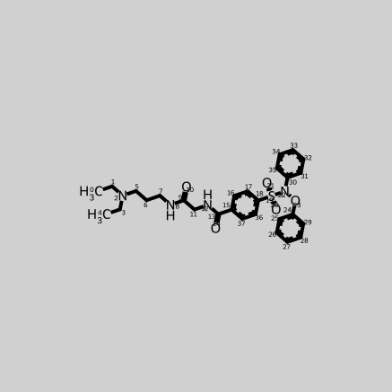 CCN(CC)CCCNC(=O)CNC(=O)c1ccc(S(=O)(=O)N(Oc2ccccc2)c2ccccc2)cc1